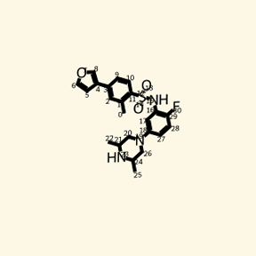 Cc1cc(-c2ccoc2)ccc1S(=O)(=O)Nc1cc(N2CC(C)NC(C)C2)ccc1F